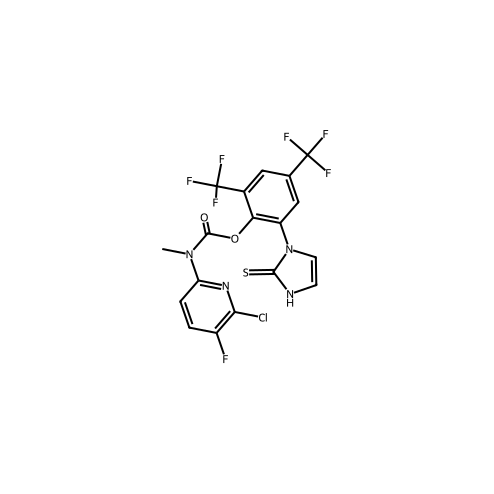 CN(C(=O)Oc1c(-n2cc[nH]c2=S)cc(C(F)(F)F)cc1C(F)(F)F)c1ccc(F)c(Cl)n1